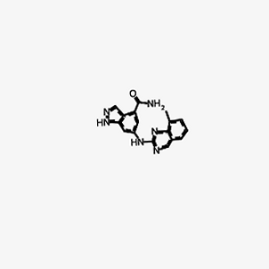 Cc1cccc2cnc(Nc3cc(C(N)=O)c4cn[nH]c4c3)nc12